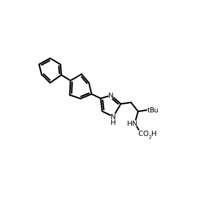 CC(C)(C)C(Cc1nc(-c2ccc(-c3ccccc3)cc2)c[nH]1)NC(=O)O